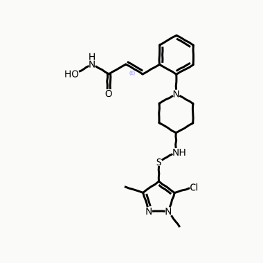 Cc1nn(C)c(Cl)c1SNC1CCN(c2ccccc2/C=C/C(=O)NO)CC1